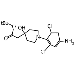 CC(C)(C)OC(=O)CC1(O)CCN(c2c(Cl)cc(N)cc2Cl)CC1